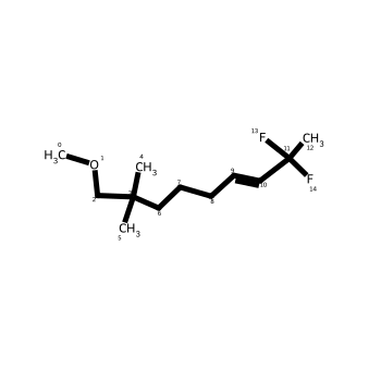 COCC(C)(C)CCC/C=C/C(C)(F)F